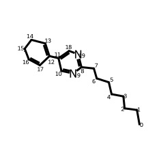 CCCCCCCCc1ncc(C2=CC[CH]C=C2)cn1